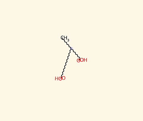 CCCCCCCC/C=C(\CCCCCCCCCCCCCCCCCC(=O)O)CCCCCCCC(=O)O